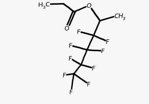 CCC(=O)OC(C)C(F)(F)C(F)(F)C(F)(F)C(F)(F)F